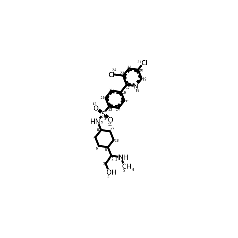 CNC(CO)C1CCC(NS(=O)(=O)c2ccc(-c3ncc(Cl)cc3Cl)cc2)CC1